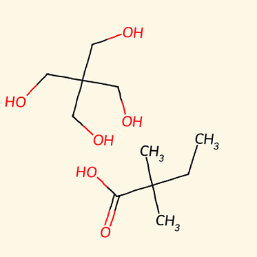 CCC(C)(C)C(=O)O.OCC(CO)(CO)CO